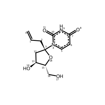 C=CC[C@]1(n2ccc(=O)[nH]c2=O)C[C@H](O)[C@@H](CO)O1